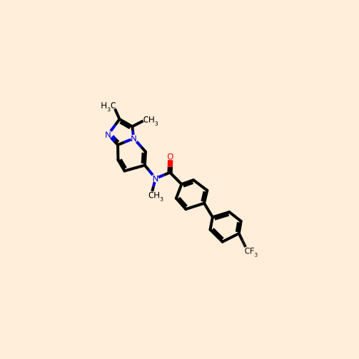 Cc1nc2ccc(N(C)C(=O)c3ccc(-c4ccc(C(F)(F)F)cc4)cc3)cn2c1C